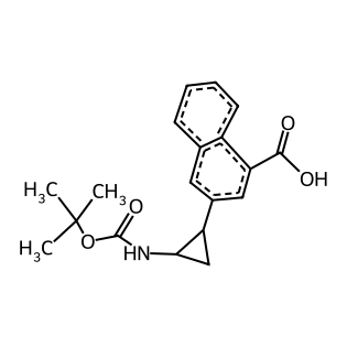 CC(C)(C)OC(=O)NC1CC1c1cc(C(=O)O)c2ccccc2c1